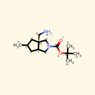 CC1CC2CN(C(=O)OC(C)(C)C)C[C@@]2(CN)C1